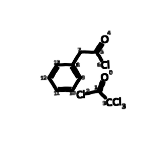 O=C(Cl)C(Cl)(Cl)Cl.O=C(Cl)Cc1ccccc1